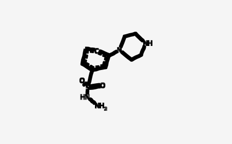 NNS(=O)(=O)c1cccc(N2CCNCC2)c1